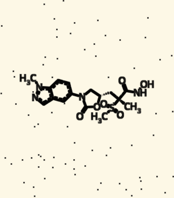 Cn1ncc2cc(N3C[C@H](C[C@](C)(C(=O)NO)S(C)(=O)=O)OC3=O)ccc21